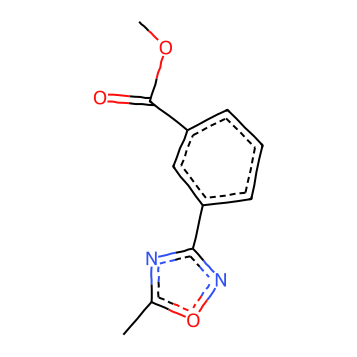 COC(=O)c1cccc(-c2noc(C)n2)c1